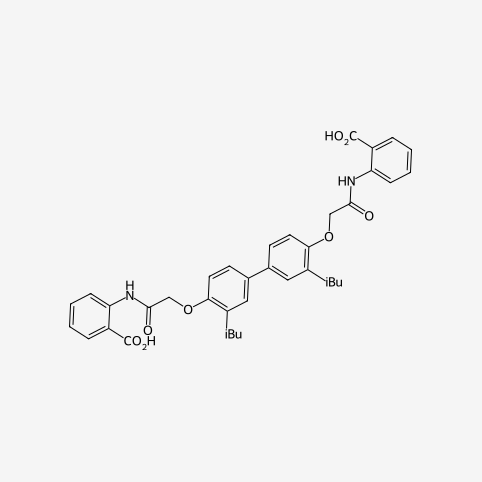 CCC(C)c1cc(-c2ccc(OCC(=O)Nc3ccccc3C(=O)O)c(C(C)CC)c2)ccc1OCC(=O)Nc1ccccc1C(=O)O